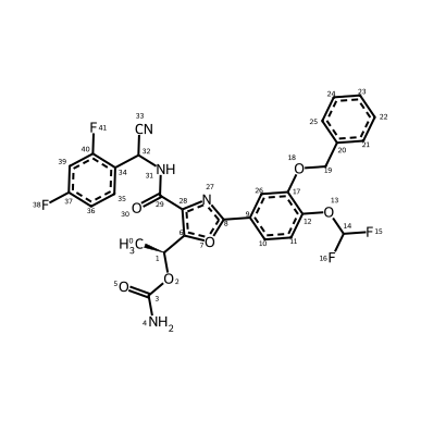 C[C@H](OC(N)=O)c1oc(-c2ccc(OC(F)F)c(OCc3ccccc3)c2)nc1C(=O)NC(C#N)c1ccc(F)cc1F